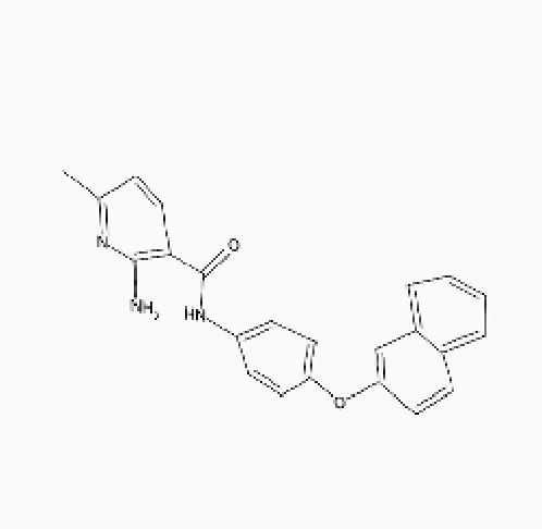 Cc1ccc(C(=O)Nc2ccc(Oc3ccc4ccccc4c3)cc2)c(N)n1